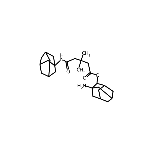 CC(C)(CC(=O)NC12CC3CC(CC(C3)C1)C2)CC(=O)OC1C2CC3CC(C2)CC1(N)C3